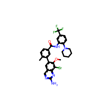 COc1c(-c2cc(C(=O)Nc3cc(C(F)(F)F)ccc3N3CCCCC3)ccc2C)cc2cnc(N)nc2c1Br